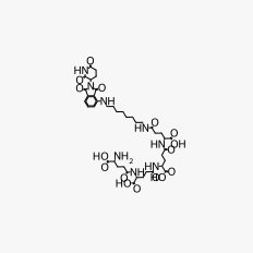 NC(CCC(=O)NC(CCC(=O)NC(CCC(=O)NC(CCC(=O)NCCCCCCCCNc1cccc2c1C(=O)N(C1CCC(=O)NC1=O)C2=O)C(=O)O)C(=O)O)C(=O)O)C(=O)O